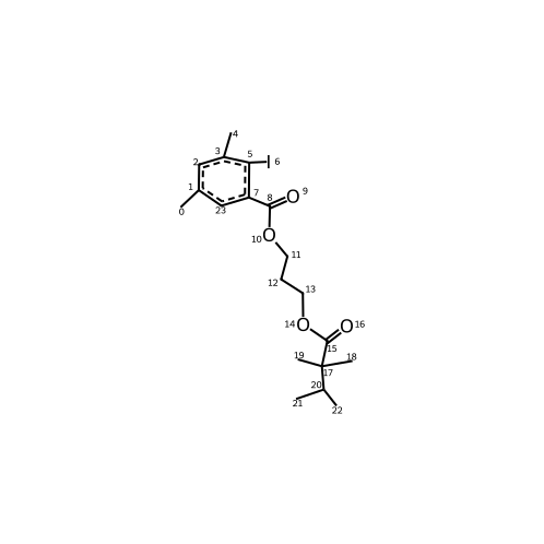 Cc1cc(C)c(I)c(C(=O)OCCCOC(=O)C(C)(C)C(C)C)c1